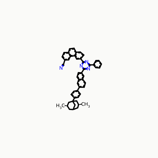 C[C@@H]1CC2C[C@H](C)CC(c3ccc(-c4ccc5cc(-c6nc(-c7ccccc7)nc(-c7ccc8ccc9ccc(C#N)cc9c8c7)n6)ccc5c4)cc3)(C2)C1